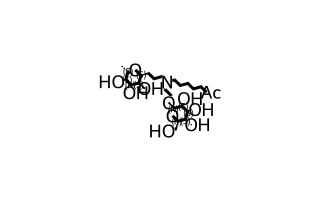 CC(=O)CCCCCN(CCC[C@@H]1O[C@@H](C)[C@@H](O)[C@@H](O)[C@@H]1O)CCO[C@@H]1O[C@H](CO)[C@@H](O)[C@H](O)[C@@H]1O